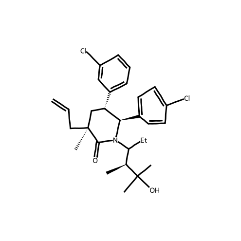 C=CC[C@@]1(C)C[C@H](c2cccc(Cl)c2)[C@@H](c2ccc(Cl)cc2)N(C(CC)[C@H](C)C(C)(C)O)C1=O